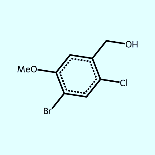 COc1cc(CO)c(Cl)cc1Br